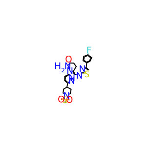 CN(c1nc(-c2ccc(F)cc2)cs1)c1c(CCC(N)=O)nc2ccc(C3CCN(S(C)(=O)=O)CC3)nn12